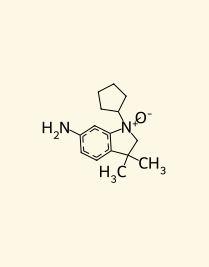 CC1(C)C[N+]([O-])(C2CCCC2)c2cc(N)ccc21